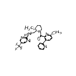 Cc1ccc(-c2ccccn2)c(C(=O)N2CCC[C@@H](C)C2CNc2ncc(C(F)(F)F)cn2)n1